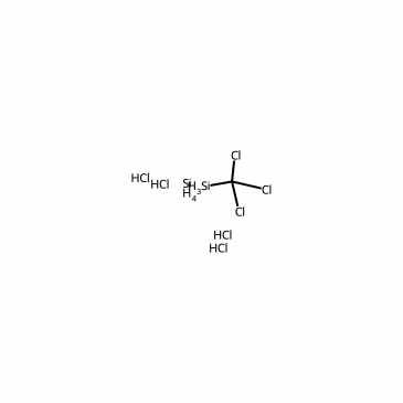 Cl.Cl.Cl.Cl.[SiH3]C(Cl)(Cl)Cl.[SiH4]